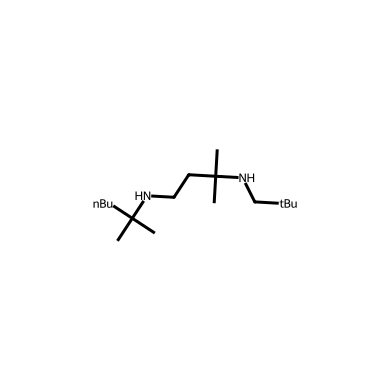 CCCCC(C)(C)NCCC(C)(C)NCC(C)(C)C